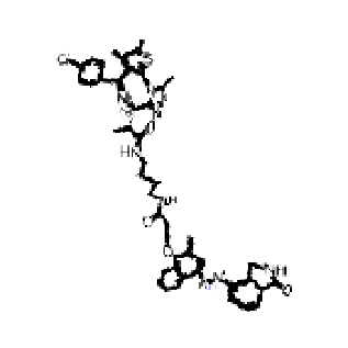 Cc1cc(/N=N/c2cccc3c2CNC3=O)c2ccccc2c1OCC(=O)NCCCCNC(=O)C(C)[C@@H]1N=C(c2ccc(Cl)cc2)c2c(sc(C)c2C)-n2c(C)nnc21